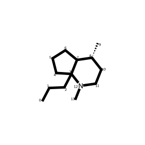 CCCC12CCCC1[C@H](C)CCN2C